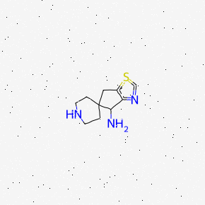 NC1c2ncsc2CC12CCNCC2